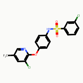 O=S(=O)(Nc1ccc(Oc2ncc(C(F)(F)F)cc2Cl)cc1)c1cccc(Cl)c1